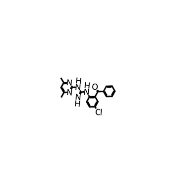 Cc1cc(C)nc(NC(=N)Nc2ccc(Cl)cc2C(=O)c2ccccc2)n1